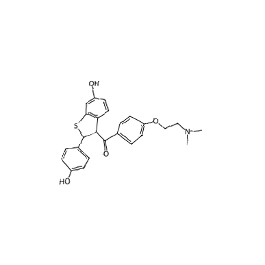 CN(C)CCOc1ccc(C(=O)C2c3ccc(O)cc3SC2c2ccc(O)cc2)cc1